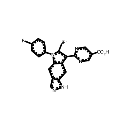 CC(C)c1c(-c2ncc(C(=O)O)cn2)c2cc3[nH]ncc3cc2n1-c1ccc(F)cc1